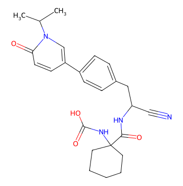 CC(C)n1cc(-c2ccc(CC(C#N)NC(=O)C3(NC(=O)O)CCCCC3)cc2)ccc1=O